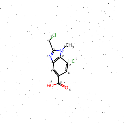 Cl.Cn1c(CCl)nc2cc(C(=O)O)ccc21